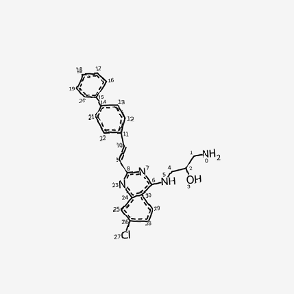 NCC(O)CNc1nc(C=Cc2ccc(-c3ccccc3)cc2)nc2cc(Cl)ccc12